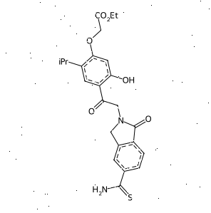 CCOC(=O)COc1cc(O)c(C(=O)CN2Cc3cc(C(N)=S)ccc3C2=O)cc1C(C)C